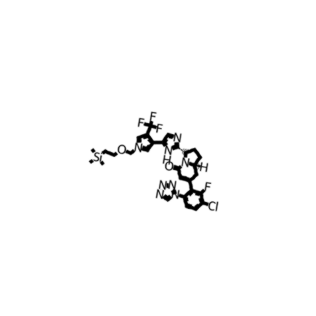 C[Si](C)(C)CCOCn1cc(-c2cnc([C@@H]3CC[C@@H]4CC(c5c(-n6cnnn6)ccc(Cl)c5F)=CC(=O)N43)[nH]2)c(C(F)(F)F)c1